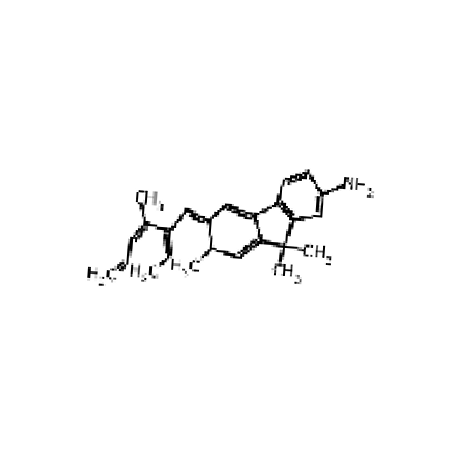 C=C\C=C(C)/C(=C\C)/C=C1/C=C2C(=CC1C)C(C)(C)c1cc(N)ccc12